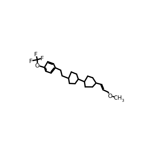 COC/C=C/C1CCC(C2CCC(CCc3ccc(OC(F)(F)F)cc3)CC2)CC1